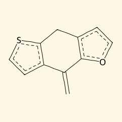 C=C1c2ccsc2Cc2ccoc21